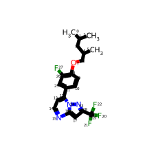 CC(C)CC(C)COc1ccc(-c2ccnc3cc(C(F)(F)F)nn23)cc1F